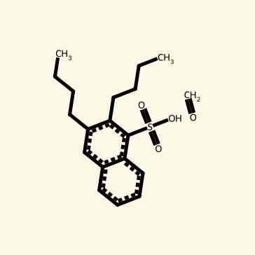 C=O.CCCCc1cc2ccccc2c(S(=O)(=O)O)c1CCCC